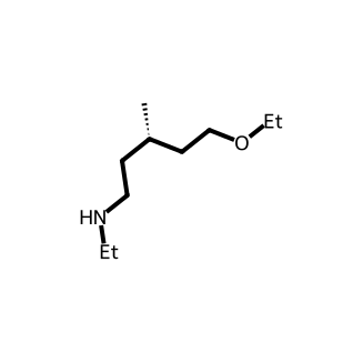 CCNCC[C@H](C)CCOCC